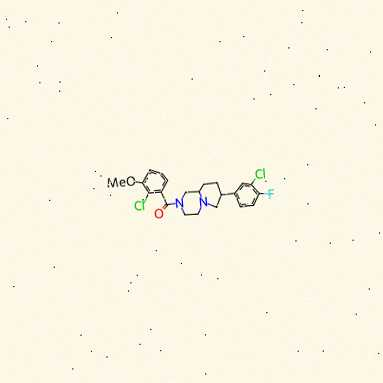 COc1cccc(C(=O)N2CCN3CC(c4ccc(F)c(Cl)c4)CCC3C2)c1Cl